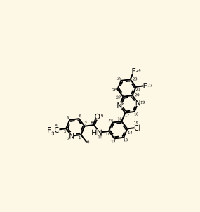 Cc1nc(C(F)(F)F)ccc1C(=O)Nc1ccc(Cl)c(-c2cnc3c(F)c(F)ccc3n2)c1